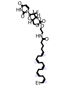 CC/C=C\C/C=C\C/C=C\C/C=C\C/C=C\CCCC(=O)NCCOP1(=O)OC[C@H]2O[C@@H](n3ccc(=O)[nH]c3=O)[C@](C)(F)[C@@H]2O1